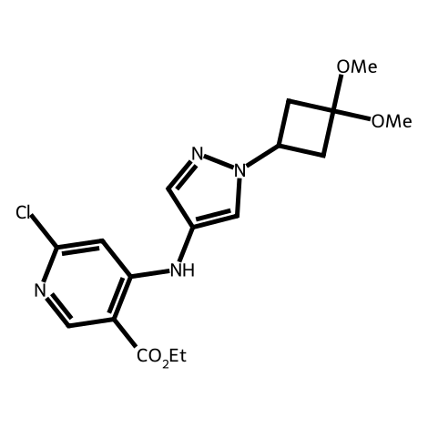 CCOC(=O)c1cnc(Cl)cc1Nc1cnn(C2CC(OC)(OC)C2)c1